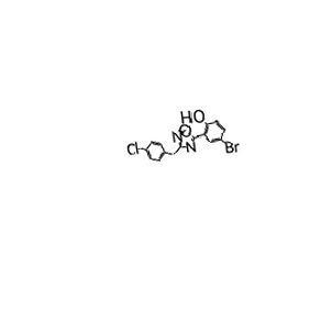 Oc1ccc(Br)cc1-c1nc(Cc2ccc(Cl)cc2)no1